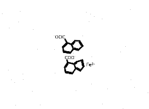 O=C([O-])c1cccc2ccccc12.O=C([O-])c1cccc2ccccc12.[Fe+2]